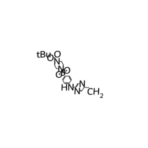 C=Cc1cnc(Nc2ccc(S(=O)(=O)N3CCN(C(=O)OC(C)(C)C)CC3)cc2)cn1